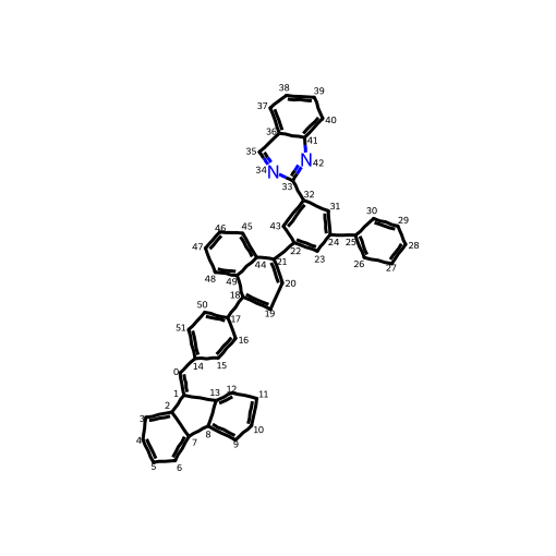 C(=C1c2ccccc2-c2ccccc21)c1ccc(-c2ccc(-c3cc(-c4ccccc4)cc(-c4ncc5ccccc5n4)c3)c3ccccc23)cc1